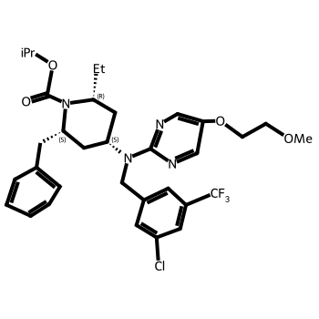 CC[C@@H]1C[C@H](N(Cc2cc(Cl)cc(C(F)(F)F)c2)c2ncc(OCCOC)cn2)C[C@H](Cc2ccccc2)N1C(=O)OC(C)C